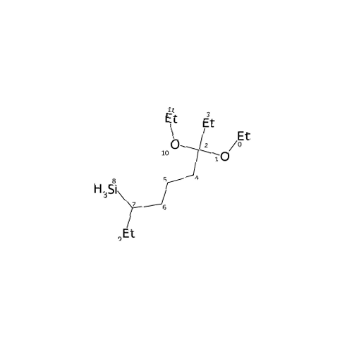 CCOC(CC)(CCCC([SiH3])CC)OCC